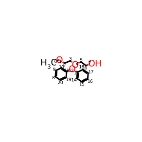 COCCOCCO.c1ccc(Oc2ccccc2)cc1